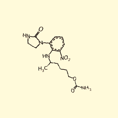 CC(CCCCOC(N)=O)Nc1c(N2CCNC2=O)cccc1[N+](=O)[O-]